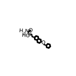 NC(=O)N(O)CCc1ccc2cc(OCc3ccccc3)ccc2c1